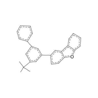 CC(C)(C)c1cc(-c2ccccc2)cc(-c2ccc3oc4ccccc4c3c2)c1